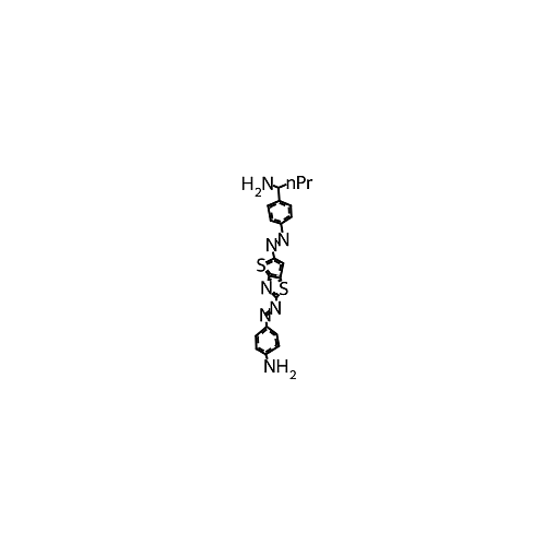 CCCC(N)c1ccc(N=Nc2cc3sc(N=Nc4ccc(N)cc4)nc3s2)cc1